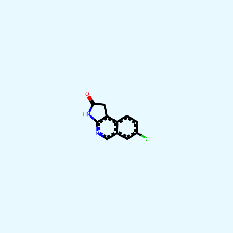 O=C1Cc2c(ncc3cc(Cl)ccc23)N1